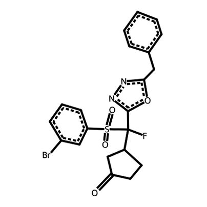 O=C1CCC(C(F)(c2nnc(Cc3ccccc3)o2)S(=O)(=O)c2cccc(Br)c2)C1